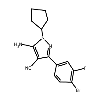 N#Cc1c(-c2ccc(Br)c(F)c2)nn(C2CCCC2)c1N